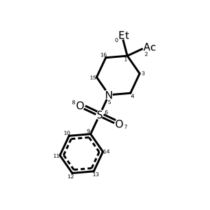 [CH2]CC1(C(C)=O)CCN(S(=O)(=O)c2ccccc2)CC1